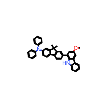 COc1cc(-c2ccc3c(c2)C(C)(C)c2cc(N(c4ccccc4)c4ccccc4)ccc2-3)c2[nH]c3ccccc3c2c1